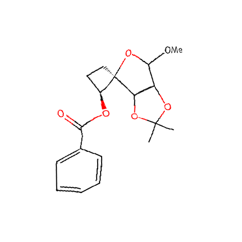 COC1O[C@@]2(CC[C@@H]2OC(=O)c2ccccc2)C2OC(C)(C)OC12